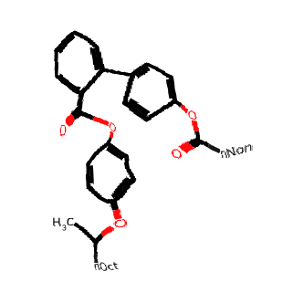 CCCCCCCCCC(=O)Oc1ccc(-c2ccccc2C(=O)Oc2ccc(OC(C)CCCCCCCC)cc2)cc1